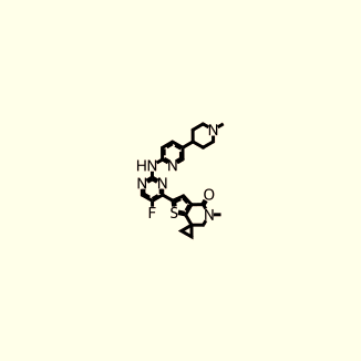 CN1CCC(c2ccc(Nc3ncc(F)c(-c4cc5c(s4)C4(CC4)CN(C)C5=O)n3)nc2)CC1